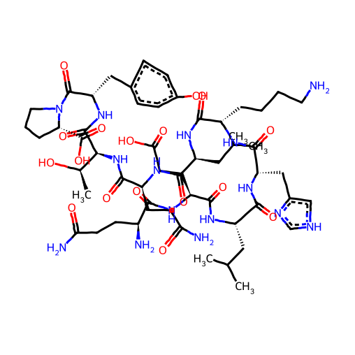 CC(C)C[C@H](NC(=O)[C@H](CCCCN)NC(=O)[C@H](Cc1c[nH]cn1)NC(=O)[C@H](CC(C)C)NC(=O)[C@H](CCC(=O)O)NC(=O)[C@@H](N)CCC(N)=O)C(=O)N[C@@H](CCC(N)=O)C(=O)N[C@H](C(=O)N[C@@H](Cc1ccc(O)cc1)C(=O)N1CCC[C@H]1C(=O)O)[C@@H](C)O